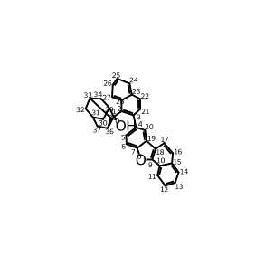 OC1(c2c(-c3ccc4oc5c6ccccc6ccc5c4c3)ccc3ccccc23)C2CC3CC(C2)CC1C3